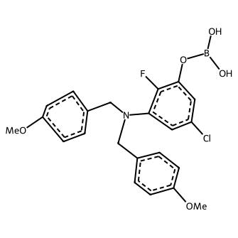 COc1ccc(CN(Cc2ccc(OC)cc2)c2cc(Cl)cc(OB(O)O)c2F)cc1